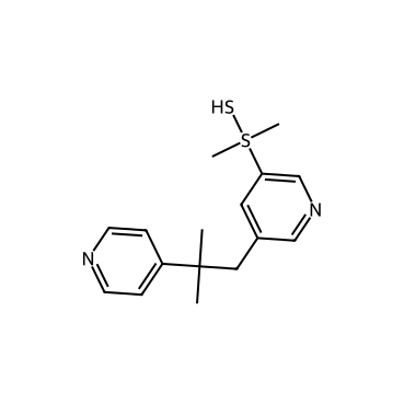 CC(C)(Cc1cncc(S(C)(C)S)c1)c1ccncc1